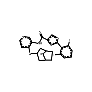 O=C(Nc1cnccc1OC1CC2CCC(C1)N2)c1csc(-c2c(F)cccc2F)n1